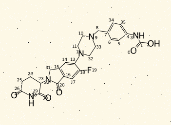 O=C(O)Nc1ccc(CN2CCN(c3cc4c(cc3F)C(=O)N(C3CCC(=O)NC3=O)C4)CC2)cc1